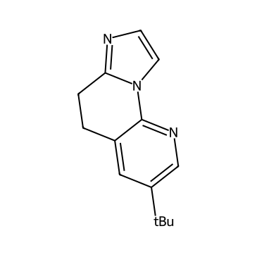 CC(C)(C)c1cnc2c(c1)CCc1nccn1-2